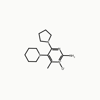 Cc1c(N2CCCCC2)c(N2CCCC2)nc(N)[n+]1[O-]